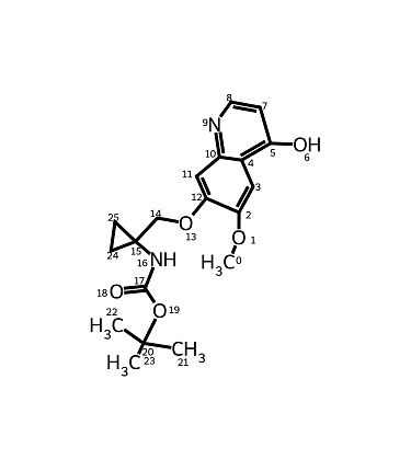 COc1cc2c(O)ccnc2cc1OCC1(NC(=O)OC(C)(C)C)CC1